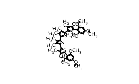 COc1cc(OC)c(-c2sc(-c3sc(-c4sc(-c5sc(-c6c(OC)cc(OC)cc6OC)c(C)c5C)c(C)c4C)c(C)c3C)c(C)c2C)c(OC)c1